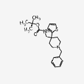 CC(C)(C)OC(=O)NCC1(c2cccs2)CCN(Cc2ccccc2)CC1